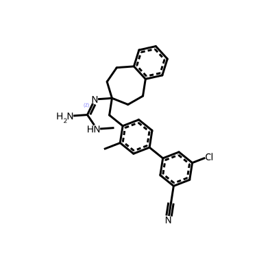 CN/C(N)=N\C1(Cc2ccc(-c3cc(Cl)cc(C#N)c3)cc2C)CCc2ccccc2CC1